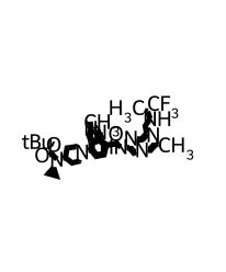 Cc1cn2cc(NC(=O)c3ccc(N4CCC(N(C(=O)OC(C)(C)C)C5CC5)CC4)c4cn(C)nc34)nc2c(CNC(C)C(F)(F)F)n1